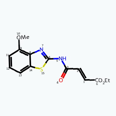 CCOC(=O)/C=C/C(=O)Nc1nc2c(OC)cccc2s1